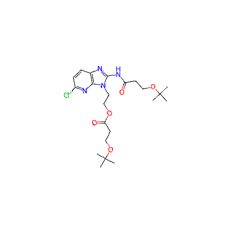 CC(C)(C)OCCC(=O)Nc1nc2ccc(Cl)nc2n1CCOC(=O)CCOC(C)(C)C